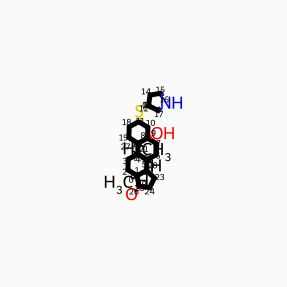 C[C@]12CC[C@@H]3[C@@H](CCC4(O)CC(S[C@@H]5CCNC5)CC[C@]34C)[C@@H]1CCC2=O